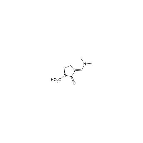 CN(C)/C=C1\CCN(C(=O)O)C1=O